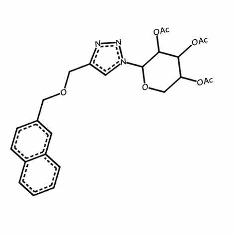 CC(=O)OC1COC(n2cc(COCc3ccc4ccccc4c3)nn2)C(OC(C)=O)C1OC(C)=O